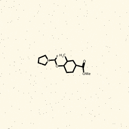 COC(=O)C1CCC(OC(F)N2CCCC2)C(C)C1